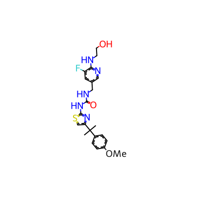 COc1ccc(C(C)(C)c2csc(NC(=O)NCc3cnc(NCCO)c(F)c3)n2)cc1